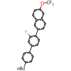 CCCCc1ccc(-c2ccc(-c3ccc4cc(OC(F)(F)F)ccc4c3)c(F)c2)cc1